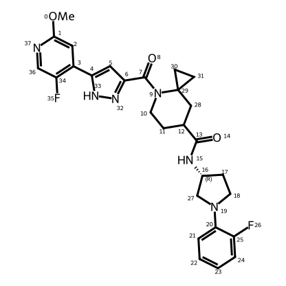 COc1cc(-c2cc(C(=O)N3CCC(C(=O)N[C@@H]4CCN(c5ccccc5F)C4)CC34CC4)n[nH]2)c(F)cn1